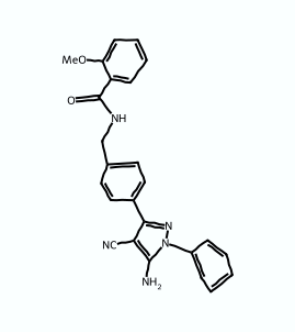 COc1ccccc1C(=O)NCc1ccc(-c2nn(-c3ccccc3)c(N)c2C#N)cc1